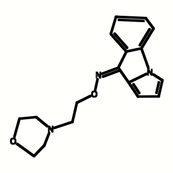 c1ccc2c(c1)/C(=N/OCCN1CCOCC1)c1cccn1-2